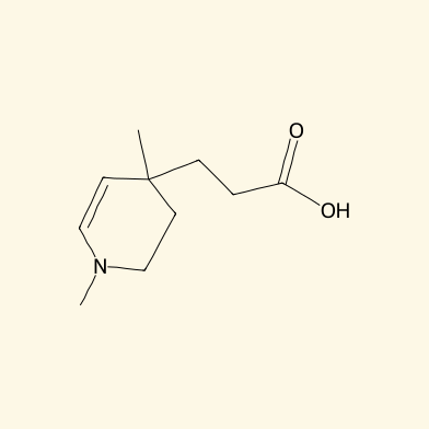 CN1C=CC(C)(CCC(=O)O)CC1